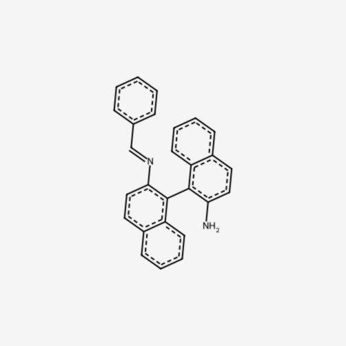 Nc1ccc2ccccc2c1-c1c(N=Cc2ccccc2)ccc2ccccc12